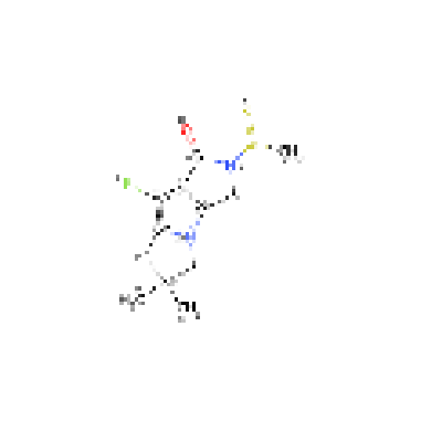 CS(=S)N1Cc2c(c(F)c3n2CC(C)(C)C3)C1=O